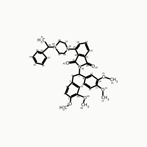 COc1ccc(CC(c2ccc(OC)c(OC)c2)N2C(=O)c3cccc(N4CCN(C(C)c5ccccc5)CC4)c3C2=O)cc1OC